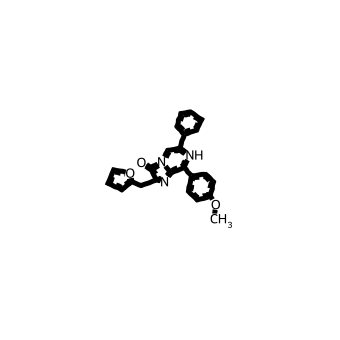 COc1ccc(-c2[nH]c(-c3ccccc3)cn3c(=O)c(Cc4ccco4)nc2-3)cc1